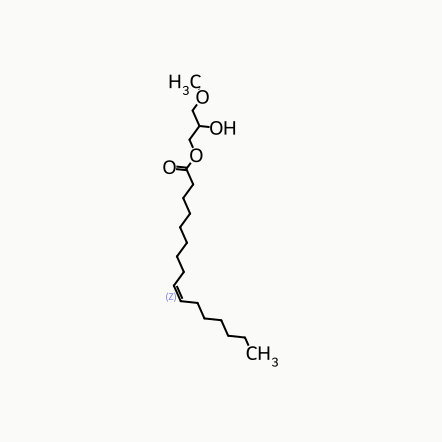 CCCCCC/C=C\CCCCCCCC(=O)OCC(O)COC